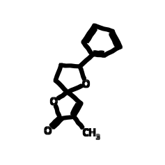 CC1=CC2(CCC(c3ccccc3)O2)OC1=O